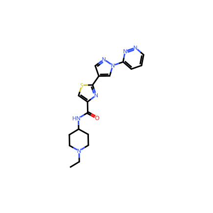 CCN1CCC(NC(=O)c2csc(-c3cnn(-c4cccnn4)c3)n2)CC1